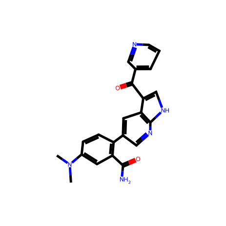 CN(C)c1ccc(-c2cnc3[nH]cc(C(=O)c4cccnc4)c3c2)c(C(N)=O)c1